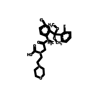 COC(OC)(c1ccccc1F)c1cc(Cl)ccc1N(C)C(=O)CN(CCN1CCOCC1)C(=O)O